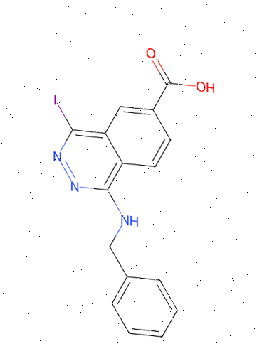 O=C(O)c1ccc2c(NCc3ccccc3)nnc(I)c2c1